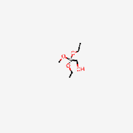 CCO[Si](CO)(OC)OCC